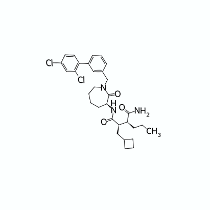 CCC[C@H](C(N)=O)[C@@H](CC1CCC1)C(=O)N[C@H]1CCCCN(Cc2cccc(-c3ccc(Cl)cc3Cl)c2)C1=O